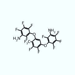 Nc1c(F)c(F)c(F)c(Oc2cc(Oc3c(F)c(N)c(F)c(F)c3F)c(C(F)(F)F)c(F)c2F)c1F